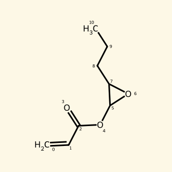 C=CC(=O)OC1OC1CCC